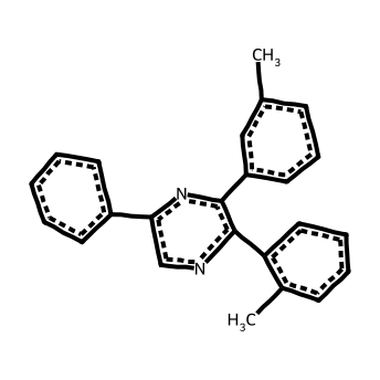 Cc1cccc(-c2nc(-c3ccccc3)cnc2-c2ccccc2C)c1